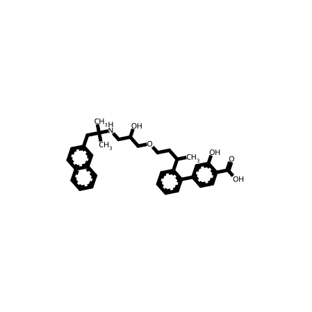 CC(CCOCC(O)CNC(C)(C)Cc1ccc2ccccc2c1)c1ccccc1-c1ccc(C(=O)O)c(O)c1